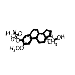 COc1cc2c(cc1OS(N)(=O)=O)CCC1C2CC[C@@]2(C)C1CC[C@@H]2CO